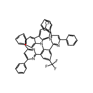 Cc1ccc2c(c1)c1ccccc1n2-c1c(-c2nc(-c3ccccc3)cc(-c3ccccc3)n2)cc(C(F)(F)F)cc1-c1nc(-c2ccccc2)cc(-c2ccccc2)n1